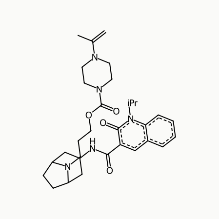 C=C(C)N1CCN(C(=O)OCCCN2C3CCC2CC(NC(=O)c2cc4ccccc4n(C(C)C)c2=O)C3)CC1